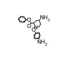 Nc1ccc(ON2CCC(N)CC2C(=O)Oc2ccccc2)cc1